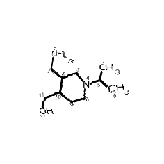 CCC1CN(C(C)C)CCC1CO